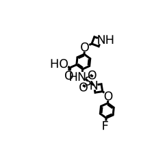 O=C(O)c1cc(OC2CNC2)ccc1NS(=O)(=O)N1CC(Oc2ccc(F)cc2)C1